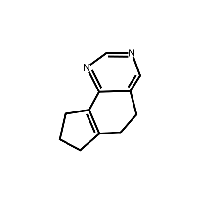 c1ncc2c(n1)C1=C(CCC1)CC2